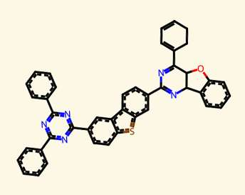 C1=CCCC(C2=NC(c3ccc4c(c3)sc3ccc(-c5nc(-c6ccccc6)nc(-c6ccccc6)n5)cc34)=NC3c4ccccc4OC23)=C1